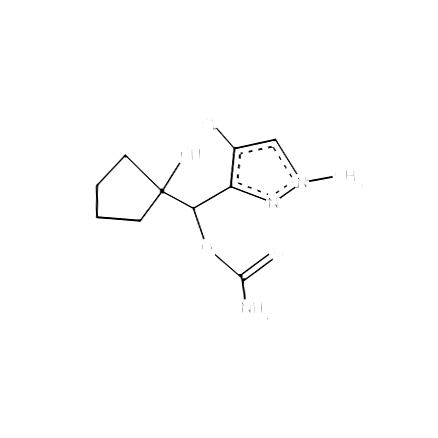 Cn1cc(Cl)c(C(OC(N)=O)C2(C)CCCC2)n1